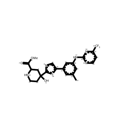 COC(=O)C1CC(O)(c2ncc(-c3cc(C)cc(Nc4nccc(C(F)(F)F)n4)c3)s2)CCN1